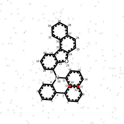 c1ccc(-c2ccccc2N(c2ccccc2)c2cccc3c2oc2ccc4ccccc4c23)cc1